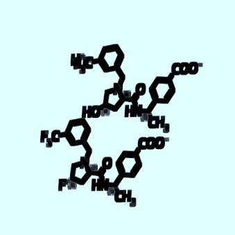 C[C@H](NC(=O)[C@H]1C[C@@H](O)CN1Cc1cccc(C(F)(F)F)c1)c1ccc(C(=O)[O-])cc1.C[C@H](NC(=O)[C@H]1C[C@H](F)CN1Cc1cccc(C(F)(F)F)c1)c1ccc(C(=O)[O-])cc1.[Li+].[Li+]